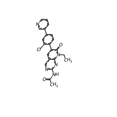 CCn1c(=O)c(-c2ccc(-c3cccnc3)cc2Cl)cc2cnc(NC(C)=O)nc21